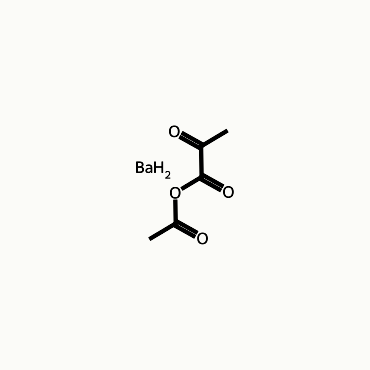 CC(=O)OC(=O)C(C)=O.[BaH2]